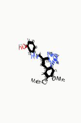 COc1cc2cc(CNc3cccc(O)c3)c3nnnn3c2cc1OC